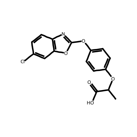 CC(Oc1ccc(Oc2nc3ccc(Cl)cc3o2)cc1)C(=O)O